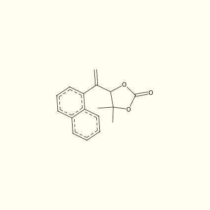 C=C(c1cccc2ccccc12)C1OC(=O)OC1(C)C